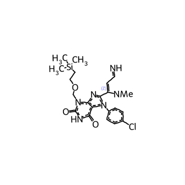 CN/C(=C\C=N)c1nc2c(c(=O)[nH]c(=O)n2COCC[Si](C)(C)C)n1-c1ccc(Cl)cc1